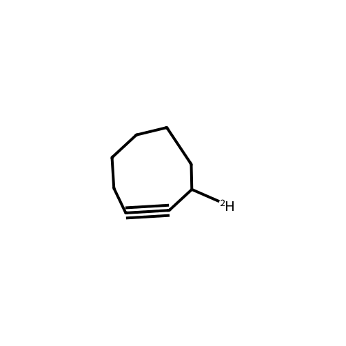 [2H]C1C#CCCCCC1